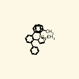 Cc1ccccc1[N+]1=[N+](C)C=CC1c1c(-c2ccccc2)cccc1-c1ccccc1